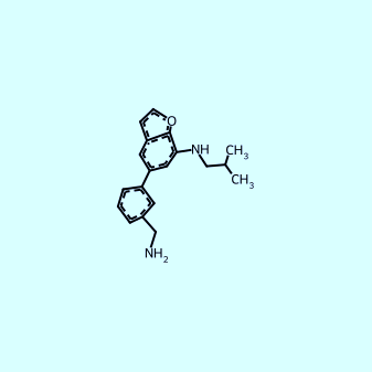 CC(C)CNc1cc(-c2cccc(CN)c2)cc2ccoc12